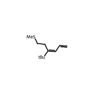 C=C/C=C(\CCSC)C(C)(C)C